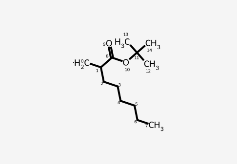 [CH2]C(CCCCCC)C(=O)OC(C)(C)C